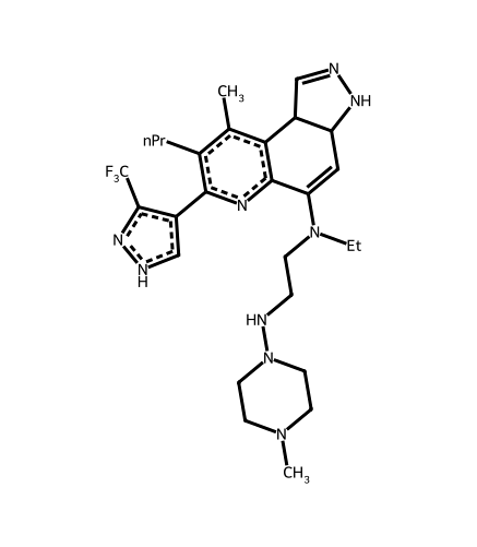 CCCc1c(-c2c[nH]nc2C(F)(F)F)nc2c(c1C)C1C=NNC1C=C2N(CC)CCNN1CCN(C)CC1